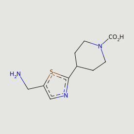 NCc1cnc(C2CCN(C(=O)O)CC2)s1